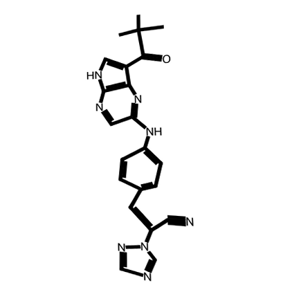 CC(C)(C)C(=O)c1c[nH]c2ncc(Nc3ccc(/C=C(\C#N)n4cncn4)cc3)nc12